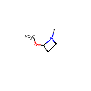 CN1CCC1OC(=O)O